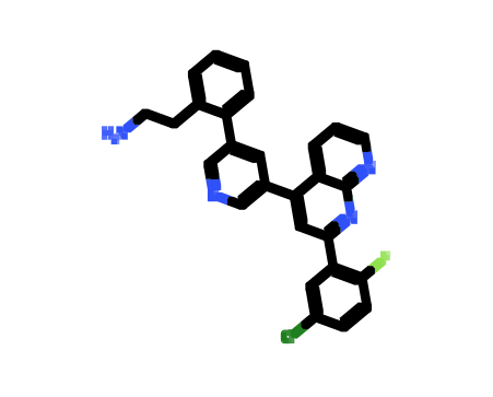 NCCc1ccccc1-c1cncc(-c2cc(-c3cc(Cl)ccc3F)nc3ncccc23)c1